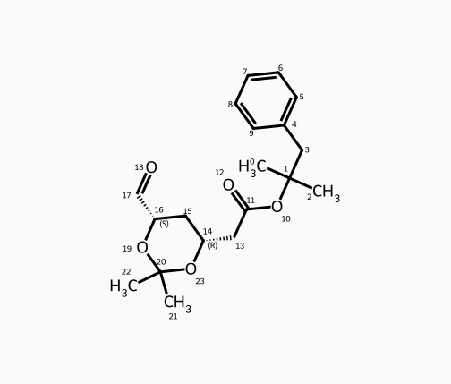 CC(C)(Cc1ccccc1)OC(=O)C[C@H]1C[C@@H](C=O)OC(C)(C)O1